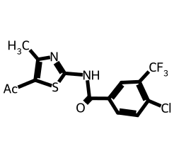 CC(=O)c1sc(NC(=O)c2ccc(Cl)c(C(F)(F)F)c2)nc1C